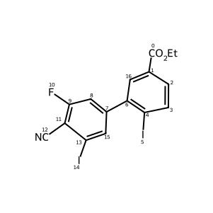 CCOC(=O)c1ccc(I)c(-c2cc(F)c(C#N)c(I)c2)c1